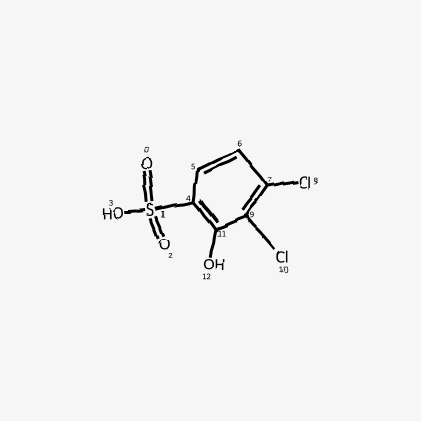 O=S(=O)(O)c1ccc(Cl)c(Cl)c1O